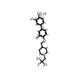 CCC(F)(CC)CN1CCC(COc2ccc(-c3ccc(C(=O)O)c(F)c3)cc2F)CC1